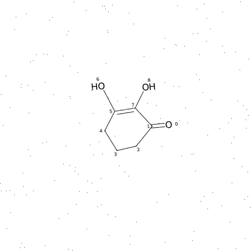 O=C1CCCC(O)=C1O